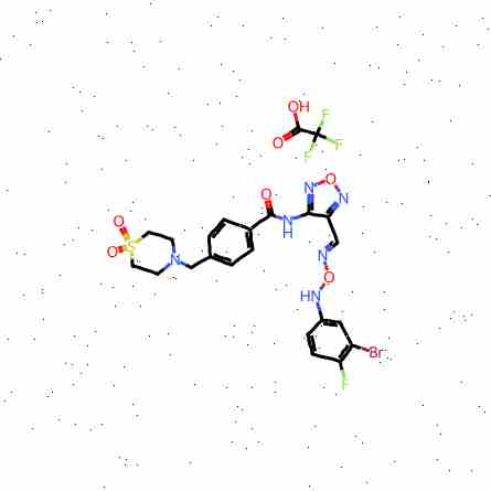 O=C(Nc1nonc1/C=N/ONc1ccc(F)c(Br)c1)c1ccc(CN2CCS(=O)(=O)CC2)cc1.O=C(O)C(F)(F)F